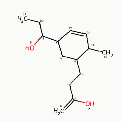 C=C(O)CCC1CC(C(O)CC)C=CC1C